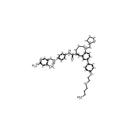 CCCCOCCOc1ccc(-c2ccc3c(c2)/C=C(/C(=O)Nc2ccc([S+]([O-])Cc4cnc(C)cc4C)cc2)CCCN3C[C@H]2CCCO2)cc1